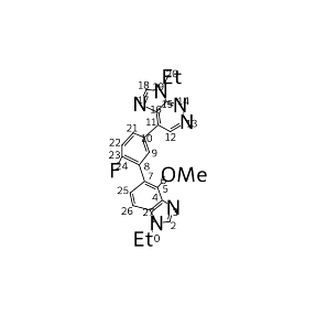 CCn1cnc2c(OC)c(-c3cc(-c4cnnc5c4ncn5CC)ccc3F)ccc21